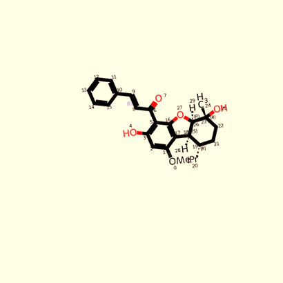 COc1cc(O)c(C(=O)/C=C/c2ccccc2)c2c1[C@@H]1[C@@H](C(C)C)CC[C@@](C)(O)[C@@H]1O2